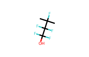 CC(C)(F)C(F)(F)C(O)(F)F